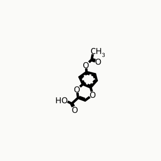 CC(=O)Oc1ccc2c(c1)OC(C(=O)O)=CO2